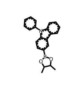 CC1OB(c2ccc3c(c2)c2ccccc2n3-c2ccccc2)OC1C